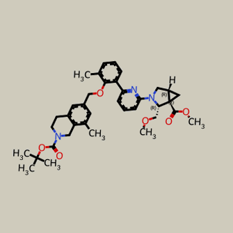 COC[C@@H]1N(c2cccc(-c3cccc(C)c3OCc3cc(C)c4c(c3)CCN(C(=O)OC(C)(C)C)C4)n2)C[C@@H]2C[C@@]21C(=O)OC